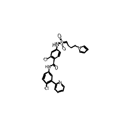 O=C(Nc1ccc(Cl)c(-c2ccccn2)c1)c1ccc(NS(=O)(=O)CCCn2cccc2)cc1Cl